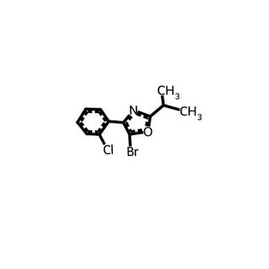 CC(C)c1nc(-c2ccccc2Cl)c(Br)o1